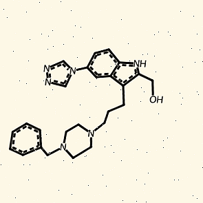 OCc1[nH]c2ccc(-n3cnnc3)cc2c1CCCN1CCN(Cc2ccccc2)CC1